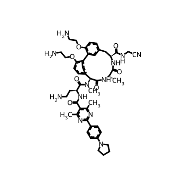 Cc1nc(-c2ccc(N3CCCC3)cc2)nc(C)c1C(=O)N[C@@H](CCN)C(=O)N(C)[C@@H]1C(=O)N[C@@H](C)C(=O)N[C@H](C(=O)NCC#N)Cc2ccc(OCCN)c(c2)-c2cc1ccc2OCCN